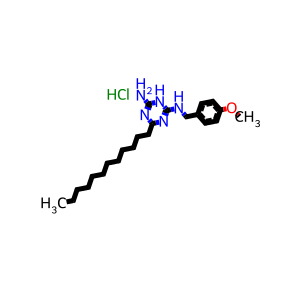 CCCCCCCCCCCCC1N=C(N)NC(NCc2ccc(OC)cc2)=N1.Cl